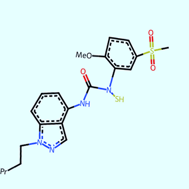 COc1ccc(S(C)(=O)=O)cc1N(S)C(=O)Nc1cccc2c1cnn2CCC(C)C